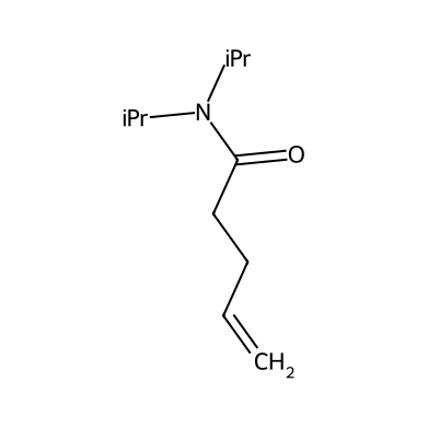 C=CCCC(=O)N(C(C)C)C(C)C